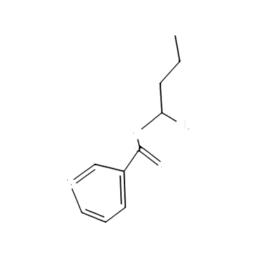 CCCC(Cl)OC(=O)c1cccnc1